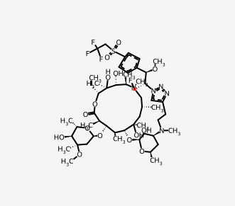 CC[C@H]1OC(=O)[C@H](C)[C@@H](O[C@H]2C[C@@](C)(OC)[C@@H](O)[C@H](C)O2)[C@H](C)[C@@H](O[C@@H]2O[C@H](C)C[C@H](N(C)CCc3cn([C@H](CF)[C@H](OC)c4ccc(S(=O)(=O)CC(F)(F)F)cc4)nn3)[C@H]2O)[C@](C)(O)C[C@@H](C)CN(C)[C@H](C)[C@@H](O)[C@]1(C)O